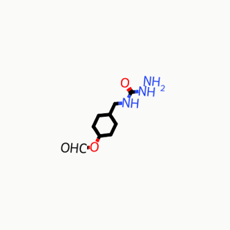 NNC(=O)NCC1CCC(OC=O)CC1